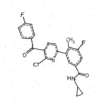 Cc1c(F)cc(C(=O)NC2CC2)cc1-c1ccc(C(=O)c2ccc(F)cc2)c(Cl)n1